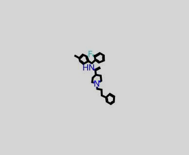 C=C(NC(c1ccc(C)cc1)c1ccccc1F)C1CCN(CCCc2ccccc2)CC1